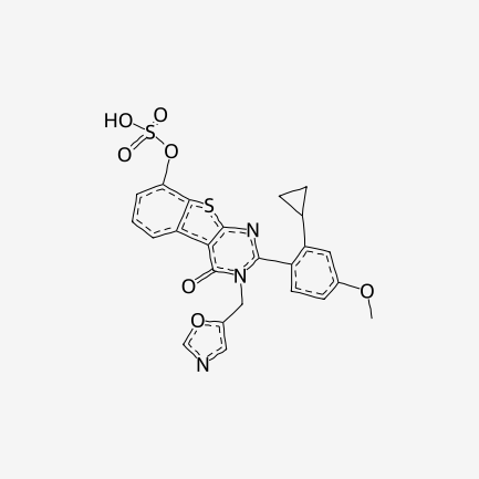 COc1ccc(-c2nc3sc4c(OS(=O)(=O)O)cccc4c3c(=O)n2Cc2cnco2)c(C2CC2)c1